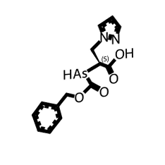 O=C(OCc1ccccc1)[AsH][C@@H](Cn1cccn1)C(=O)O